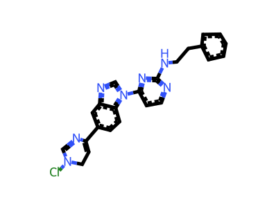 ClN1C=NC(c2ccc3c(c2)ncn3-c2ccnc(NCCc3ccccc3)n2)=CC1